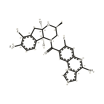 C[C@H]1CN(C(=O)c2cc3c(cc2F)nc(N)c2cncn23)[C@H]2c3ccc(C(F)(F)F)c(F)c3C[C@H]2O1